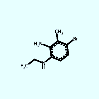 Cc1c(Br)ccc(NCC(F)(F)F)c1N